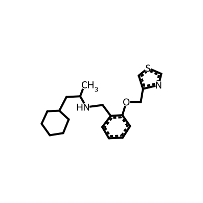 CC(CC1CCCCC1)NCc1ccccc1OCc1cscn1